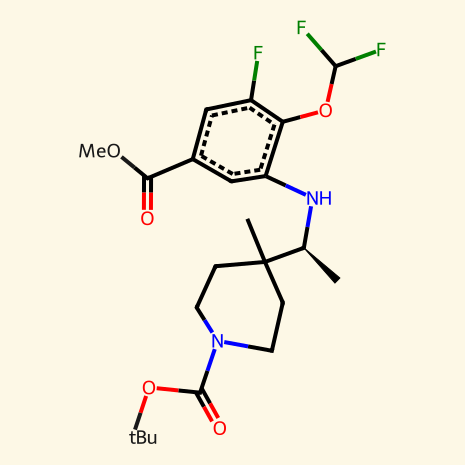 COC(=O)c1cc(F)c(OC(F)F)c(N[C@@H](C)C2(C)CCN(C(=O)OC(C)(C)C)CC2)c1